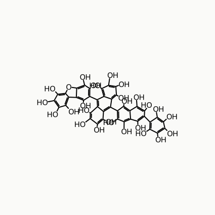 Oc1c(O)c(O)c(-c2c(O)c(O)c3c(O)c(-c4c5c(O)c(O)c(O)c(O)c5c(-c5c(O)c(O)c6oc7c(O)c(O)c(O)c(O)c7c6c5O)c5c(O)c(O)c(O)c(O)c45)c(O)c(O)c3c2O)c(O)c1O